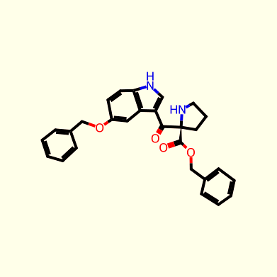 O=C(OCc1ccccc1)[C@]1(C(=O)c2c[nH]c3ccc(OCc4ccccc4)cc23)CCCN1